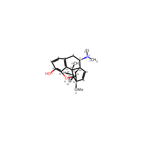 CCN(C)[C@@H]1Cc2ccc(O)c3c2[C@@]2(C)[C@@H](O3)[C@@]3(OC)C=C[C@@]12C[C@H]3C(C)=O